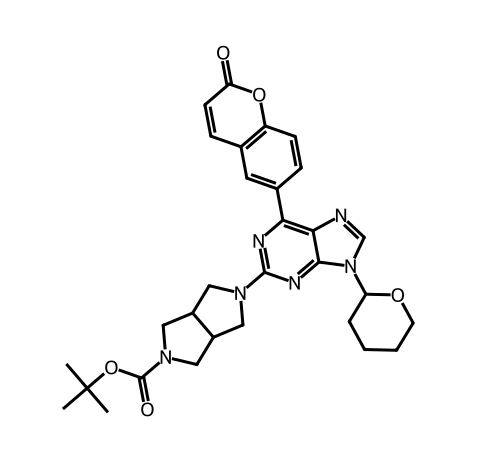 CC(C)(C)OC(=O)N1CC2CN(c3nc(-c4ccc5oc(=O)ccc5c4)c4ncn(C5CCCCO5)c4n3)CC2C1